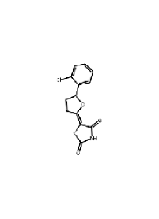 O=C1NC(=O)C(=C2C=CC(c3ccccc3Cl)O2)S1